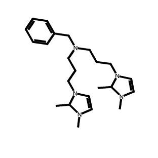 CC1N(C)C=CN1CCCN(CCCN1C=CN(C)C1C)Cc1ccccc1